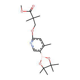 COC(=O)C(C)(C)COc1cc(C)c(B2OC(C)(C)C(C)(C)O2)cn1